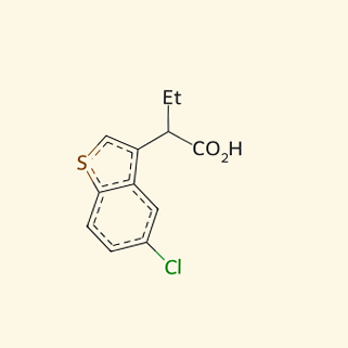 CCC(C(=O)O)c1csc2ccc(Cl)cc12